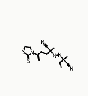 C=C(CCC(C)(C#N)N=NC(C)(C#N)CC)N1CCSC1=S